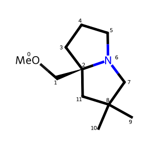 COC[C@@]12CCCN1CC(C)(C)C2